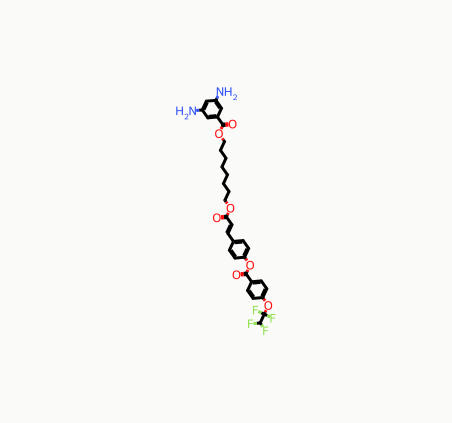 Nc1cc(N)cc(C(=O)OCCCCCCCCOC(=O)/C=C/c2ccc(OC(=O)c3ccc(OC(F)(F)C(F)F)cc3)cc2)c1